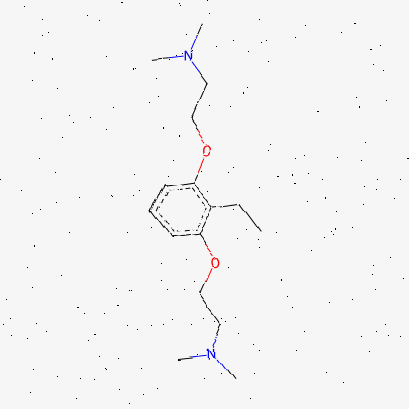 CCc1c(OCCN(C)C)cccc1OCCN(C)C